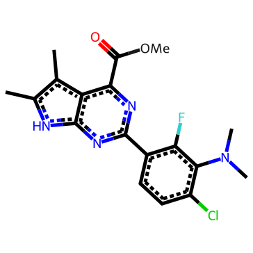 COC(=O)c1nc(-c2ccc(Cl)c(N(C)C)c2F)nc2[nH]c(C)c(C)c12